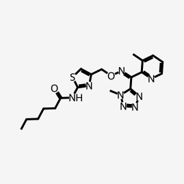 CCCCCC(=O)Nc1nc(CON=C(c2ncccc2C)c2nnnn2C)cs1